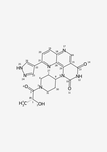 C[C@@H](O)C(=O)N1CCC(n2c(=O)[nH]c(=O)c3cnc4ccc(-c5cn[nH]c5)nc4c32)CC1